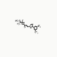 CN(C(=O)O)C1(F)CN(C(=O)C=Cn2cnc(-c3cc(C(F)(F)F)cc(C(F)(F)F)c3)n2)C1